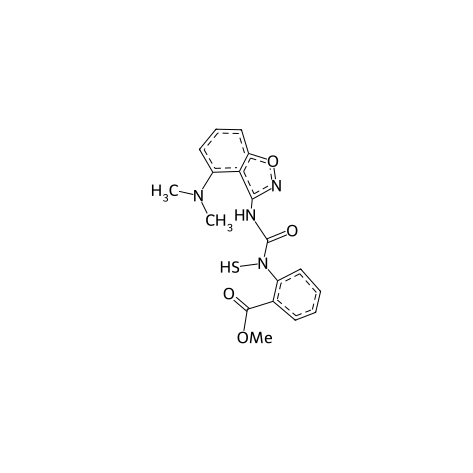 COC(=O)c1ccccc1N(S)C(=O)Nc1noc2cccc(N(C)C)c12